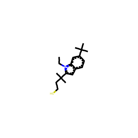 CCn1c(C(C)(C)CCS)cc2ccc(C(C)(C)C)cc21